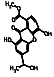 COC(=O)c1ccc(O)c2oc3cc(C(C)O)cc(O)c3c(=O)c12